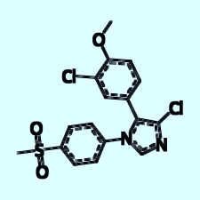 COc1ccc(-c2c(Cl)ncn2-c2ccc(S(C)(=O)=O)cc2)cc1Cl